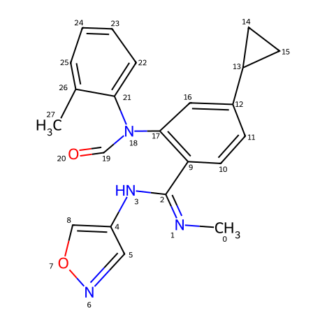 C/N=C(/Nc1cnoc1)c1ccc(C2CC2)cc1N(C=O)c1ccccc1C